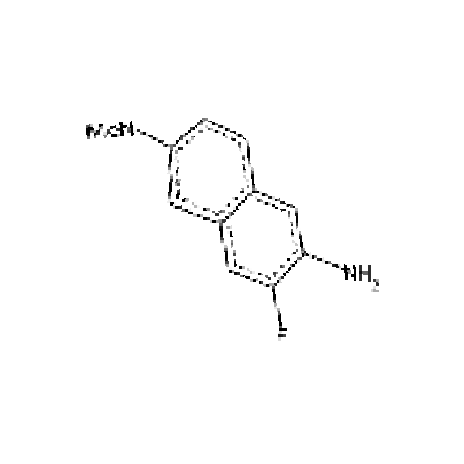 CNc1ccc2cc(N)c(F)cc2c1